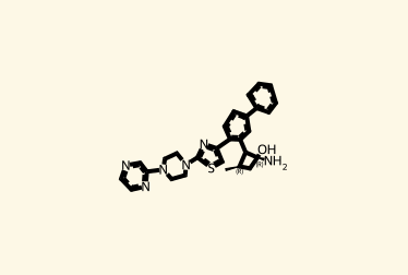 C[C@@H]1C[C@@](N)(O)C1c1cc(-c2ccccc2)ccc1-c1csc(N2CCN(c3cnccn3)CC2)n1